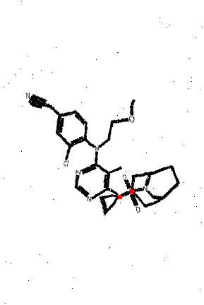 COCCN(c1ccc(C#N)cc1Cl)c1ncnc(OC2CC3CCC(C2)N3S(=O)(=O)C2CC2)c1C